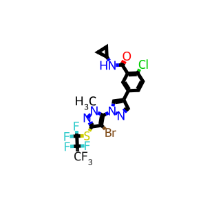 Cn1nc(SC(F)(F)C(F)(F)C(F)(F)F)c(Br)c1-n1cc(-c2ccc(Cl)c(C(=O)NC3CC3)c2)cn1